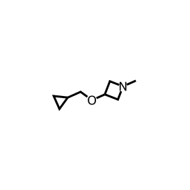 CN1CC(OCC2CC2)C1